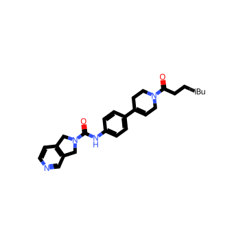 CCC(C)CCC(=O)N1CC=C(c2ccc(NC(=O)N3Cc4ccncc4C3)cc2)CC1